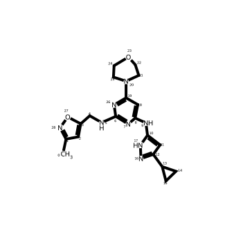 Cc1cc(CNc2nc(Nc3cc(C4CC4)n[nH]3)cc(N3CCOCC3)n2)on1